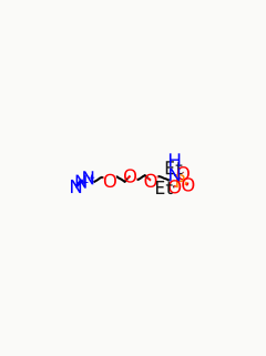 CCOP(=O)(NCCOCCOCCOCCN=[N+]=[N-])OCC